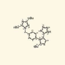 CCCCc1nc(CCCC)n(Cc2ccc(-n3c(-c4nnn[nH]4)ccc3C(C)(C)C)cc2)n1